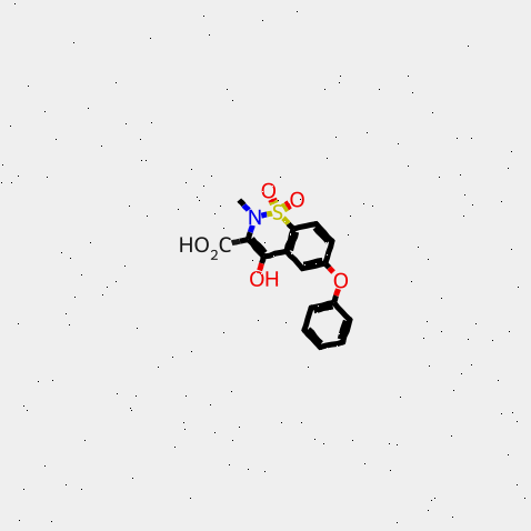 CN1C(C(=O)O)=C(O)c2cc(Oc3ccccc3)ccc2S1(=O)=O